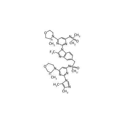 Cc1ncn(-c2nc(N=S(C)(=O)Cc3ccc4c(c3)nc(C(F)(F)F)n4-c3nc(N=S(C)(C)=O)cc(N4CCOC[C@H]4C)n3)cc(N3CCOC[C@H]3C)n2)c1C